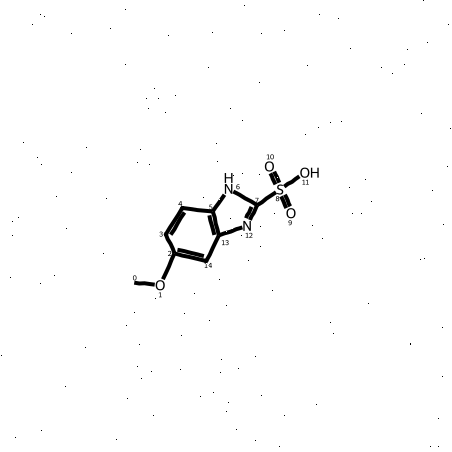 COc1ccc2[nH]c(S(=O)(=O)O)nc2c1